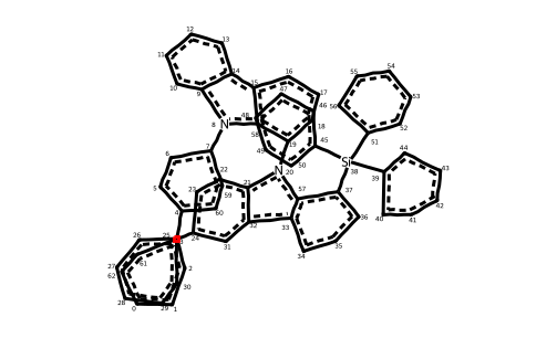 c1ccc(-c2ccc(-n3c4ccccc4c4cccc(-n5c6ccc(-c7ccccc7)cc6c6cccc([Si](c7ccccc7)(c7ccccc7)c7ccccc7)c65)c43)cc2)cc1